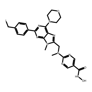 CN(Cc1nc2c(N3CCOCC3)nc(-c3ccc(CI)cc3)nc2n1C)c1ncc(C(=O)NO)cn1